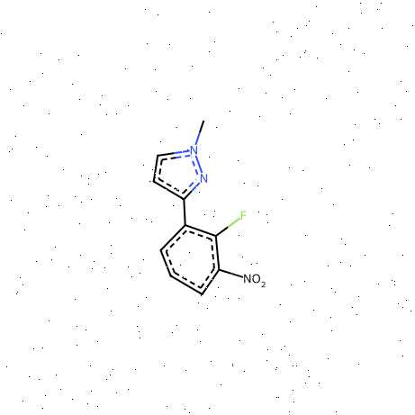 Cn1c[c]c(-c2cccc([N+](=O)[O-])c2F)n1